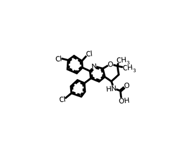 CC1(C)CC(NC(=O)O)c2cc(-c3ccc(Cl)cc3)c(-c3ccc(Cl)cc3Cl)nc2O1